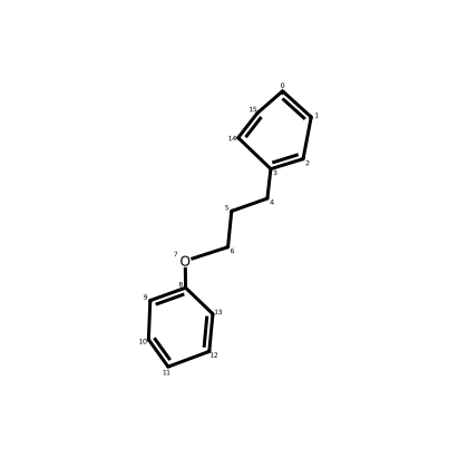 [c]1ccc(CCCOc2ccccc2)cc1